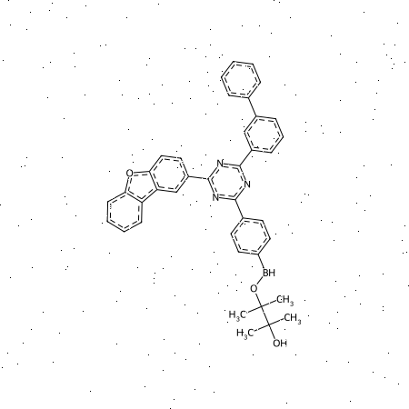 CC(C)(O)C(C)(C)OBc1ccc(-c2nc(-c3cccc(-c4ccccc4)c3)nc(-c3ccc4oc5ccccc5c4c3)n2)cc1